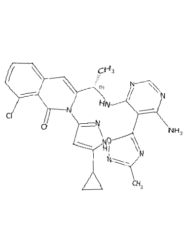 Cc1noc(-c2c(N)ncnc2N[C@@H](C)c2cc3cccc(Cl)c3c(=O)n2-c2cc(C3CC3)[nH]n2)n1